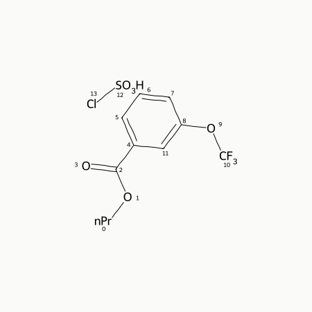 CCCOC(=O)c1cccc(OC(F)(F)F)c1.O=S(=O)(O)Cl